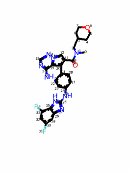 CN(CC1CCOCC1)C(=O)c1cn2ncnc(N)c2c1-c1ccc(Nc2nc3cc(F)cc(F)c3[nH]2)cc1